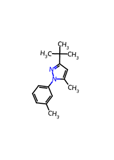 Cc1cccc(-n2nc(C(C)(C)C)cc2C)c1